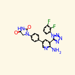 Nc1ncc(-c2ccc(N3CC(=O)NC3=O)cc2)cc1-c1nnnn1-c1cccc(F)c1F